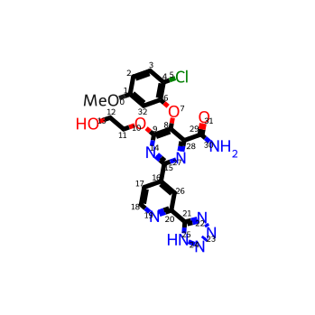 COc1ccc(Cl)c(Oc2c(OCCO)nc(-c3ccnc(-c4nnn[nH]4)c3)nc2C(N)=O)c1